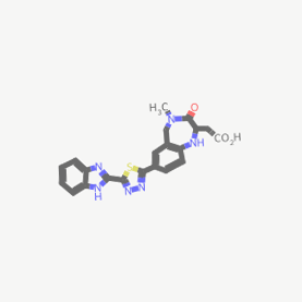 CN1Cc2cc(-c3nnc(-c4nc5ccccc5[nH]4)s3)ccc2NC(CC(=O)O)C1=O